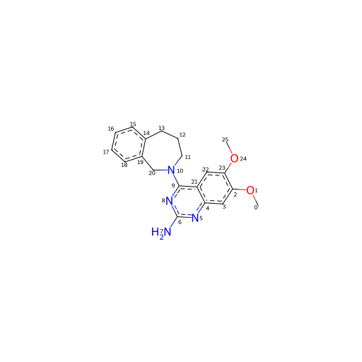 COc1cc2nc(N)nc(N3CCCc4ccccc4C3)c2cc1OC